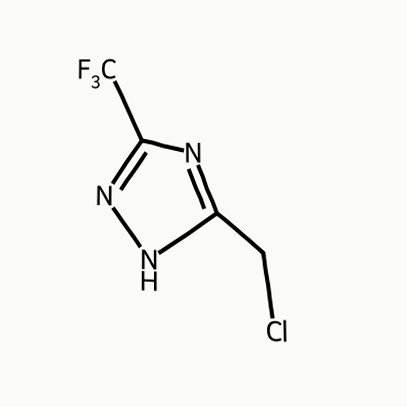 FC(F)(F)c1n[nH]c(CCl)n1